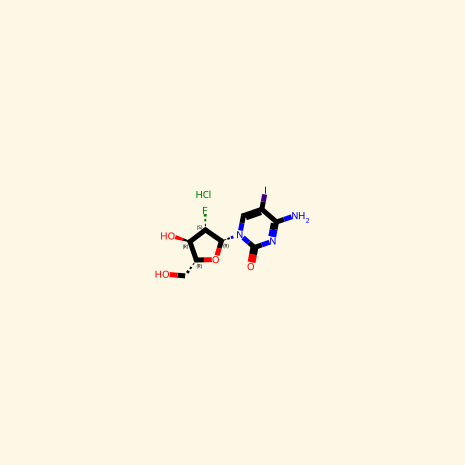 Cl.Nc1nc(=O)n([C@@H]2O[C@H](CO)[C@@H](O)[C@@H]2F)cc1I